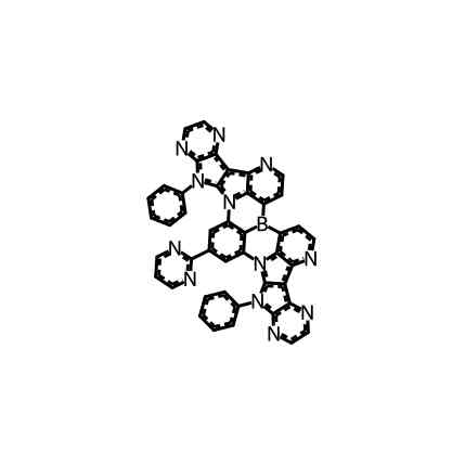 c1ccc(-n2c3nccnc3c3c4nccc5c4n(c32)-c2cc(-c3ncccn3)cc3c2B5c2ccnc4c5c6nccnc6n(-c6ccccc6)c5n-3c24)cc1